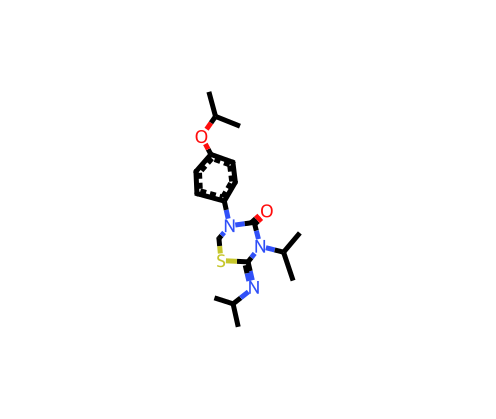 CC(C)/N=C1\SCN(c2ccc(OC(C)C)cc2)C(=O)N1C(C)C